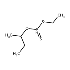 CCS[PH](=S)OC(C)CC